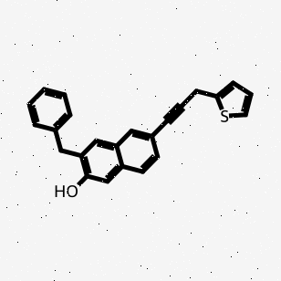 Oc1cc2ccc(C#CCc3cccs3)cc2cc1Cc1ccccc1